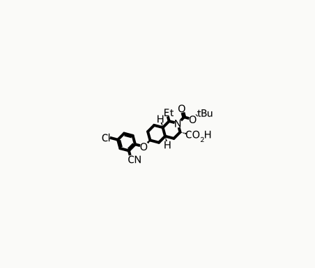 CCC1[C@@H]2CC[C@H](Oc3ccc(Cl)cc3C#N)C[C@@H]2C[C@@H](C(=O)O)N1C(=O)OC(C)(C)C